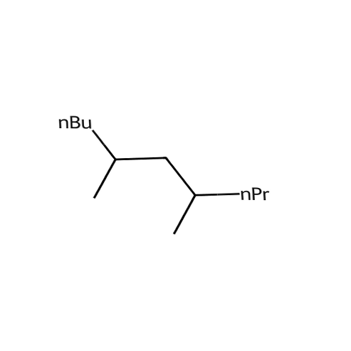 CCCCC(C)CC(C)CCC